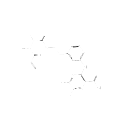 C=CC(=O)N(C)C(C)C(=O)NCCc1cccc(Nc2nc(C)c(C)nc2C(N)=O)c1